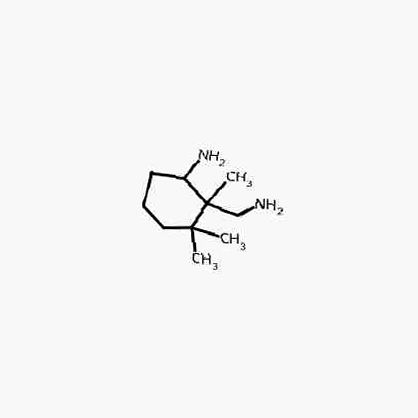 CC1(C)CCCC(N)C1(C)CN